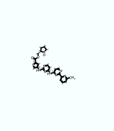 Cc1cccc(-c2nccc(Nc3ccnc(Nc4csc(C(=O)OC[C@H]5CCCN5)c4)n3)n2)n1